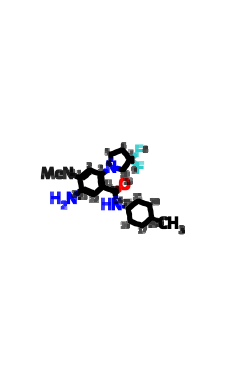 CNc1cc(N2CCC(F)(F)C2)c(C(=O)N[C@H]2CC[C@H](C)CC2)cc1N